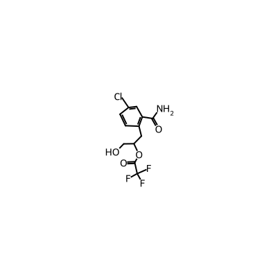 NC(=O)c1cc(Cl)ccc1CC(CO)OC(=O)C(F)(F)F